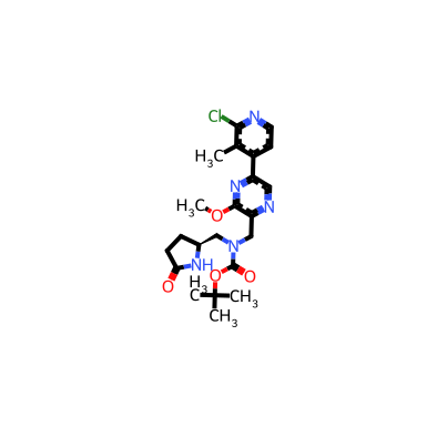 COc1nc(-c2ccnc(Cl)c2C)cnc1CN(C[C@@H]1CCC(=O)N1)C(=O)OC(C)(C)C